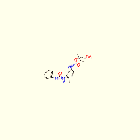 CCC(C)(CCO)OC(=O)Nc1ccc(C)c(NC(=O)Nc2ccccc2)c1